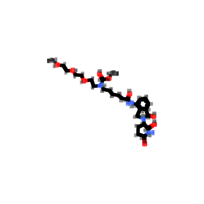 CCCOCCOCCOCCN(CCCCCC(=O)Nc1cccc2c1CN(C1CCC(=O)NC1=O)C2=O)C(=O)OC(C)(C)C